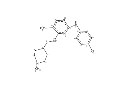 CN1CCC(CNc2nc(Nc3ccc(Cl)cc3)ncc2C(F)(F)F)CC1